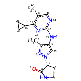 Cc1nn([C@@H]2CCNC2=O)cc1Nc1ncc(C(F)(F)F)c(C2CC2)n1